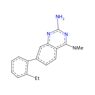 CCc1ccccc1-c1ccc2c(NC)nc(N)nc2c1